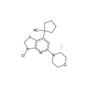 C[C@@H]1COCCN1c1cc(C2(C#N)CCCC2)c2c(n1)N(Cl)CS2